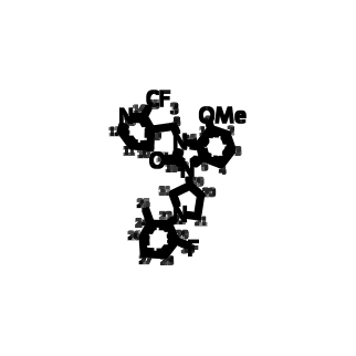 COc1cccc2c1n(Cc1cccnc1C(F)(F)F)c(=O)n2C1CCN(c2c(C)cccc2F)C1